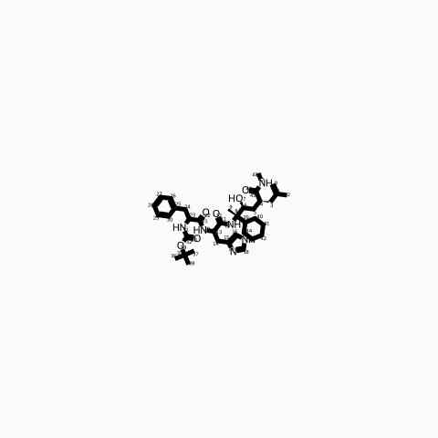 C=C(C)C[C@H](C[C@H](O)[C@@](C)(NC(=O)C(Cc1c[nH]cn1)NC(=O)C(Cc1ccccc1)NC(=O)OC(C)(C)C)C1CCCCC1)C(=O)NC